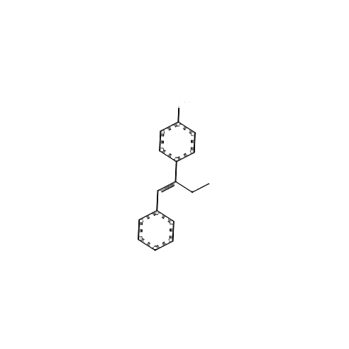 CC/C(=C\c1ccccc1)c1ccc(O)cc1